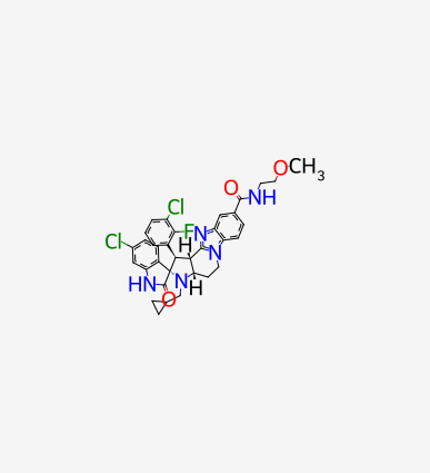 COCCNC(=O)c1ccc2c(c1)nc1n2CC[C@H]2[C@@H]1[C@H](c1cccc(Cl)c1F)[C@]1(C(=O)Nc3cc(Cl)ccc31)N2CC1CC1